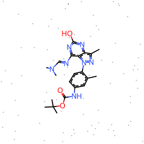 Cc1cc(NC(=O)OC(C)(C)C)ccc1-n1nc(C)c2nc(O)nc(/N=C/N(C)C)c21